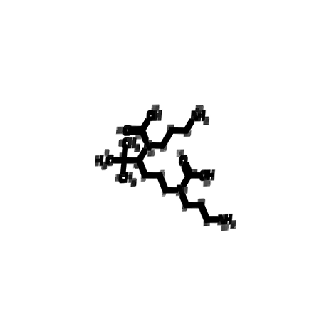 CC(C)(C)C(CCCN(CCCN)C(=O)O)N(CCCN)C(=O)O